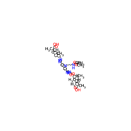 C[C@H](CCC(=O)O)C1CCC2C3CCC4CC(Cn5cc(-c6ccc7c8ccc(-c9cn(CC(=O)OC%10CCC%11(C)C%12CCC%13(C)C(CC%13[C@H](C)CCC(=O)O)[C@@H]%12C[C@H](C)[C@@H]%11C%10)nn9)cc8n(CCCCCNC(=O)OC(C)(C)C)c7c6)nn5)CCC4(C)C3CCC21C